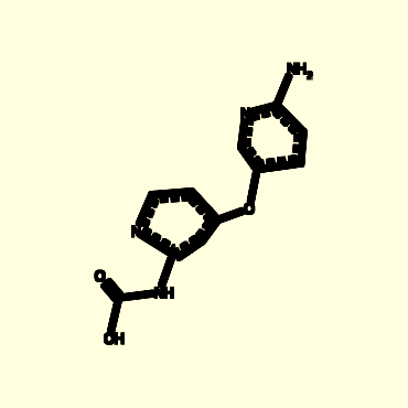 Nc1ccc(Oc2ccnc(NC(=O)O)c2)cn1